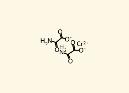 NC(=O)C(=O)[O-].NC(=O)C(=O)[O-].[Cr+2]